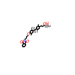 CCC(CC)(c1ccc(CCC(O)C(C)(C)C)c(C)c1)c1ccc(OCCCCN2C(=O)c3ccccc3C2=O)c(C)c1